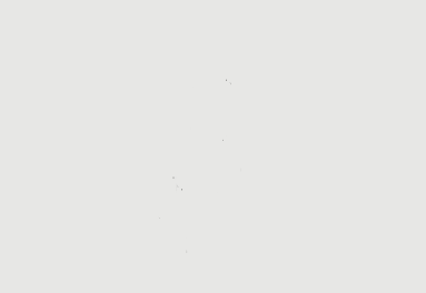 O=C(O)N1CCC(Cc2cscn2)C1